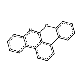 c1ccc2c(c1)Oc1nc3ccccc3c3cccc-2c13